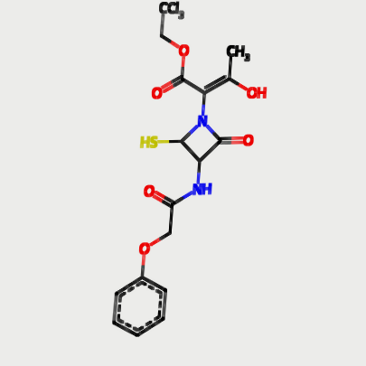 C/C(O)=C(\C(=O)OCC(Cl)(Cl)Cl)N1C(=O)C(NC(=O)COc2ccccc2)C1S